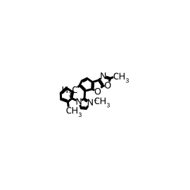 Cc1nc2c(o1)oc1c(-c3n(-c4ccccc4C)cc[n+]3C)c(C)ccc12